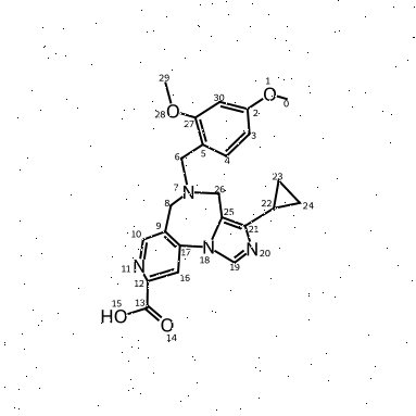 COc1ccc(CN2Cc3cnc(C(=O)O)cc3-n3cnc(C4CC4)c3C2)c(OC)c1